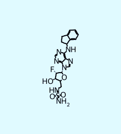 NS(=O)(=O)NCC1O[C@@H](n2cnc3c(NC4CCc5ccccc54)ncnc32)[C@@H](F)[C@@H]1O